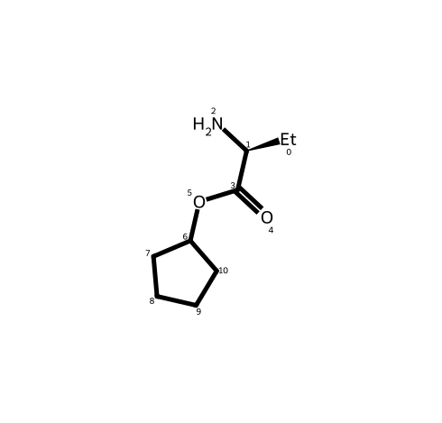 CC[C@H](N)C(=O)OC1CCCC1